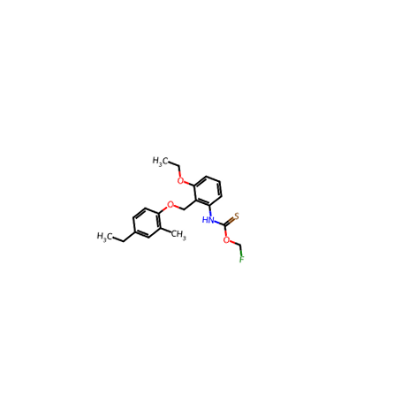 CCOc1cccc(NC(=S)OCF)c1COc1ccc(CC)cc1C